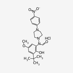 COc1cc(N(C=O)N2CCN(c3ccc([N+](=O)[O-])cc3)CC2)c(O)c(C(C)(C)C)c1.Cl